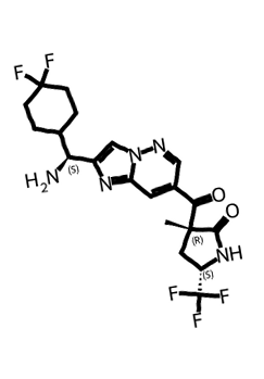 C[C@]1(C(=O)c2cnn3cc([C@@H](N)C4CCC(F)(F)CC4)nc3c2)C[C@@H](C(F)(F)F)NC1=O